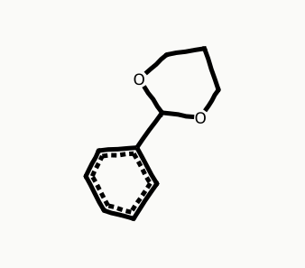 c1ccc([C]2OCCCO2)cc1